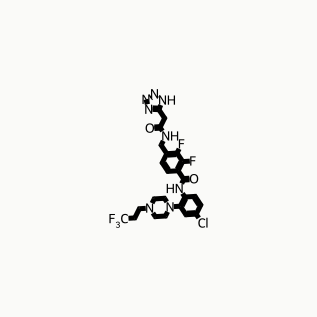 O=C(Cc1nnn[nH]1)NCc1ccc(C(=O)Nc2ccc(Cl)cc2N2CCN(CCC(F)(F)F)CC2)c(F)c1F